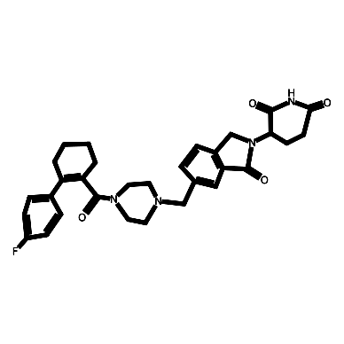 O=C1CCC(N2Cc3ccc(CN4CCN(C(=O)C5=C(c6ccc(F)cc6)CCCC5)CC4)cc3C2=O)C(=O)N1